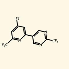 CCc1cc(-c2cnc(C(F)(F)F)nc2)nc(C(F)(F)F)c1